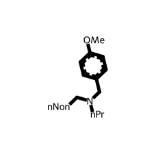 CCCCCCCCCCN(CCC)Cc1ccc(OC)cc1